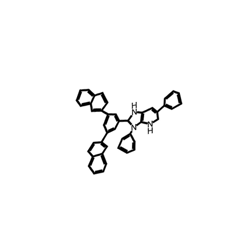 C1=C(c2ccccc2)CNC2=C1NC(c1cc(-c3ccc4ccccc4c3)cc(-c3ccc4ccccc4c3)c1)N2c1ccccc1